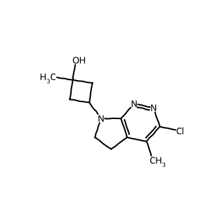 Cc1c(Cl)nnc2c1CCN2C1CC(C)(O)C1